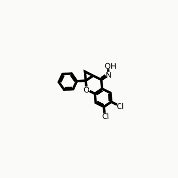 ON=C1c2cc(Cl)c(Cl)cc2OC2(c3ccccc3)CC12